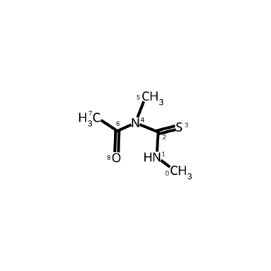 CNC(=S)N(C)C(C)=O